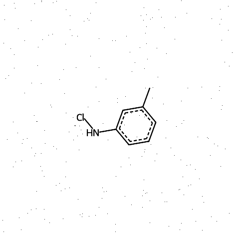 Cc1cccc(NCl)c1